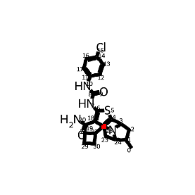 CC1CC2c3sc(NC(=O)Nc4ccc(Cl)cc4)c(C(N)=O)c3CC1N2CC1CCC1